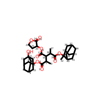 CC(C(=O)OC12CC3CC(CC(O)(C3)C1)C2)C(C(=O)OC1CCOC1=O)C(C)C(=O)OC1(C)C2CC3CC(C2)CC1C3